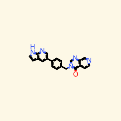 O=c1c2ccncc2ncn1Cc1ccc(-c2cnc3[nH]ccc3c2)cc1